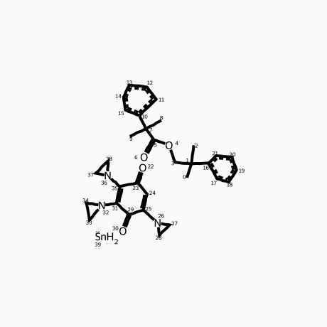 CC(C)(COC(=O)C(C)(C)c1ccccc1)c1ccccc1.O=C1C=C(N2CC2)C(=O)C(N2CC2)=C1N1CC1.[SnH2]